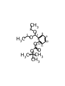 CCOC(OCC)c1ccccc1OC(=O)OC(C)(C)C